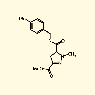 COC(=O)C1=NN(C)C(C(=O)NCc2ccc(C(C)(C)C)cc2)C1